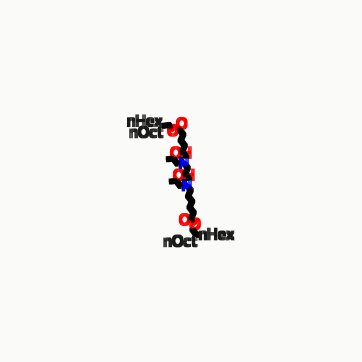 CCCCCCCCC(CCCCCC)COC(=O)CCCCCN(CCCN(CCCCCC(=O)OCC(CCCCCC)CCCCCCCC)CC(C)O)CC(C)O